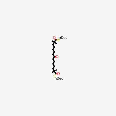 CCCCCCCCCCSC(=O)C(C)(C)CCCCCC(=O)CCCCCC(C)(C)C(=O)SCCCCCCCCCC